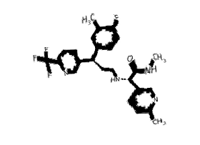 CNC(=O)[C@@H](NCC[C@@H](c1ccc(C(F)(F)F)nc1)c1ccc(F)c(C)c1)c1ccc(C)nc1